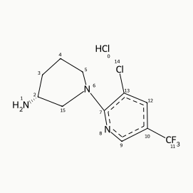 Cl.N[C@@H]1CCCN(c2ncc(C(F)(F)F)cc2Cl)C1